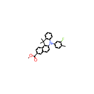 COC(=O)c1ccc2c3c(ccc2c1)N(c1ccc(C)c(F)c1)c1ccccc1C3(C)C